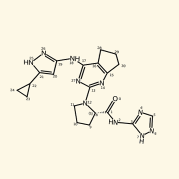 O=C(Nc1ncn[nH]1)[C@@H]1CCCN1c1nc2c(c(Nc3cc(C4CC4)[nH]n3)n1)CCC2